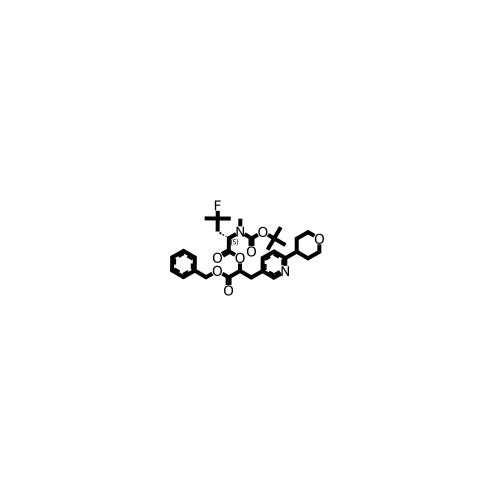 CN(C(=O)OC(C)(C)C)[C@@H](CC(C)(C)F)C(=O)OC(Cc1ccc(C2CCOCC2)nc1)C(=O)OCc1ccccc1